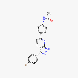 CC(=O)Nc1ccc(-c2ccc3c(-c4ccc(Br)cc4)n[nH]c3n2)cc1